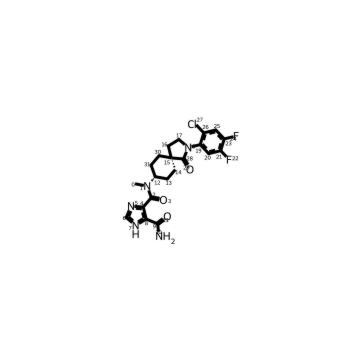 CN(C(=O)c1nc[nH]c1C(N)=O)[C@H]1CC[C@@]2(CCN(c3cc(F)c(F)cc3Cl)C2=O)CC1